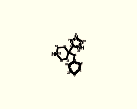 c1ccc(CC2(c3nnn[nH]3)CCNCC2)cc1